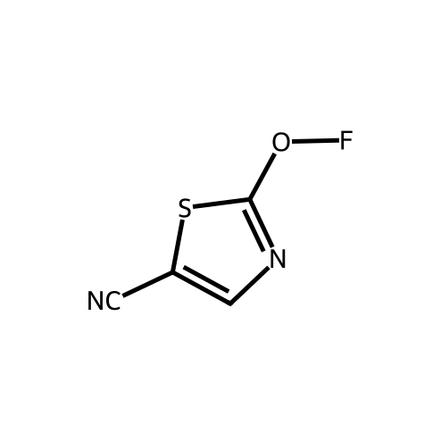 N#Cc1cnc(OF)s1